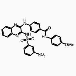 COc1ccc(NC(=O)c2ccc(Nc3nc4ccccc4nc3NS(=O)(=O)c3cccc([N+](=O)[O-])c3)cc2)cc1